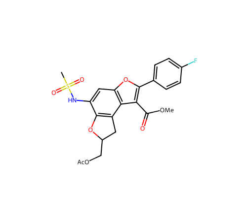 COC(=O)c1c(-c2ccc(F)cc2)oc2cc(NS(C)(=O)=O)c3c(c12)CC(COC(C)=O)O3